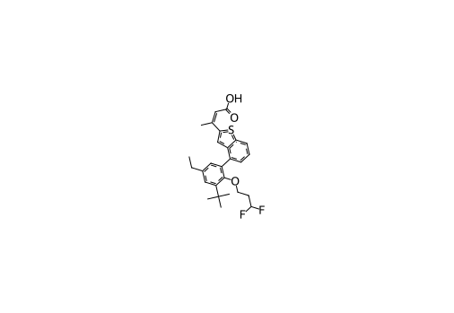 CCc1cc(-c2cccc3sc(/C(C)=C\C(=O)O)cc23)c(OCCC(F)F)c(C(C)(C)C)c1